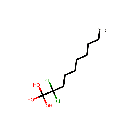 CCCCCCCCC(Cl)(Cl)C(O)(O)O